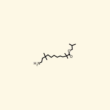 CC(C)COC(=O)C(C)(C)CCCCCCC(C)(C)CCN